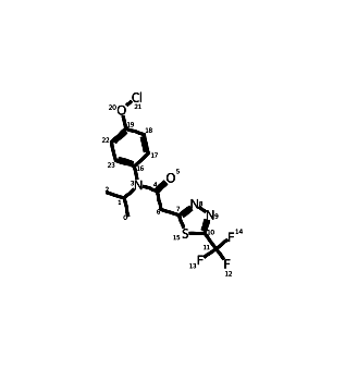 CC(C)N(C(=O)Cc1nnc(C(F)(F)F)s1)c1ccc(OCl)cc1